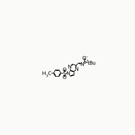 Cc1ccc(S(=O)(=O)n2ccc3nc(C=N[S+]([O-])C(C)(C)C)cnc32)cc1